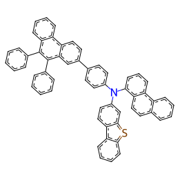 c1ccc(-c2c(-c3ccccc3)c3cc(-c4ccc(N(c5ccc6c(c5)sc5ccccc56)c5cccc6c5ccc5ccccc56)cc4)ccc3c3ccccc23)cc1